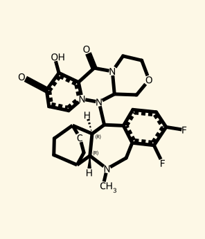 CN1Cc2c(ccc(F)c2F)C(N2C3COCCN3C(=O)c3c(O)c(=O)ccn32)[C@@H]2C3CCC(CC3)[C@H]21